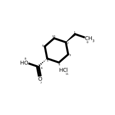 CC[C@H]1CC[C@H](C(=O)O)CC1.Cl